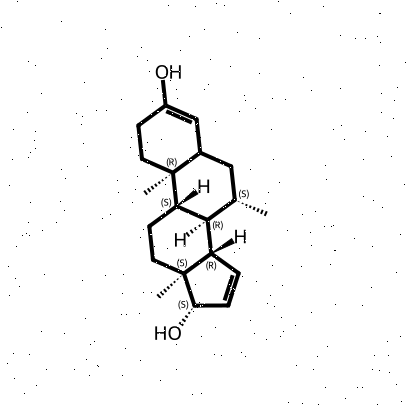 C[C@H]1CC2C=C(O)CC[C@]2(C)[C@H]2CC[C@]3(C)[C@@H](O)C=C[C@H]3[C@H]12